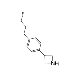 FCCCc1ccc(C2CNC2)cc1